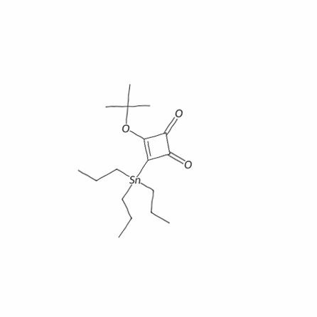 CC[CH2][Sn]([CH2]CC)([CH2]CC)[c]1c(OC(C)(C)C)c(=O)c1=O